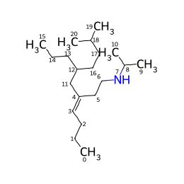 CCC/C=C(\CCNC(C)C)CC(CCC)CCC(C)C